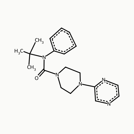 CC(C)(C)N(C(=O)N1CCN(c2cnccn2)CC1)c1ccccc1